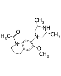 COc1cc2c(cc1N1CC(C)NC(C)C1)N(C(C)=O)CCC2